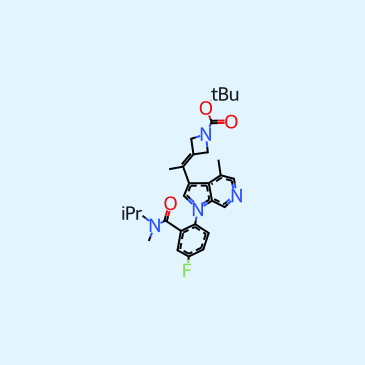 CC(=C1CN(C(=O)OC(C)(C)C)C1)c1cn(-c2ccc(F)cc2C(=O)N(C)C(C)C)c2cncc(C)c12